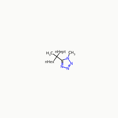 CCCCCCCC(C)(CCCCCC)c1nnnn1C